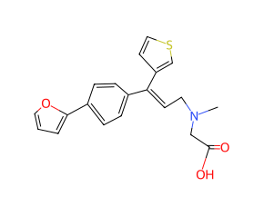 CN(C/C=C(/c1ccc(-c2ccco2)cc1)c1ccsc1)CC(=O)O